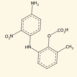 Cc1cccc(Nc2ccc(N)cc2[N+](=O)[O-])c1OC(=O)O